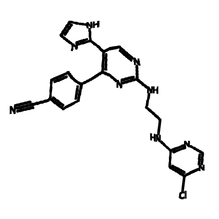 N#Cc1ccc(-c2nc(NCCNc3cc(Cl)ncn3)ncc2-c2ncc[nH]2)cc1